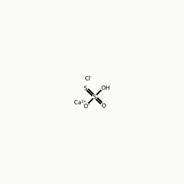 O=S([O-])(O)=S.[Ca+2].[Cl-]